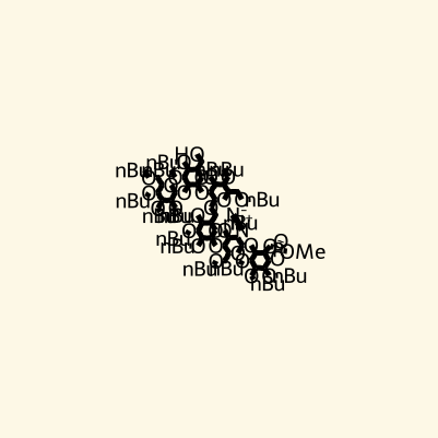 CCCCOCC1OC(OC2C(OCCCC)C(OCCCC)C(OCCCC)C3OP(=O)(OC)OC23)C(N=[N+]=[N-])C(OCCCC)C1OC1OC(COC2OC(COCCCC)C(OCCCC)C(OCCCC)C2OC2OC(CO)C(OCCCC)C(OCCCC)C2OC2OC(COCCCC)C(OCCCC)C(OCCCC)C2OCCCC)C(OCCCC)C(OCCCC)C1OCCCC